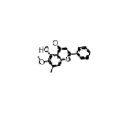 COc1c(C)cc2oc(-c3ccccc3)cc(=O)c2c1O